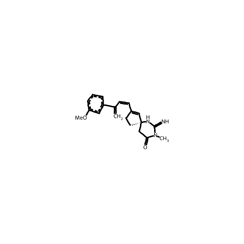 C=C(/C=C\C1=C[C@]2(CC1)CC(=O)N(C)C(=N)N2)c1cccc(OC)c1